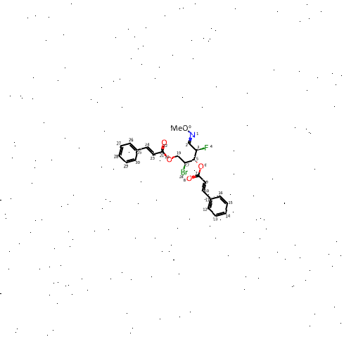 CON=C[C@@H](F)[C@H](OC(=O)/C=C/c1ccccc1)[C@@H](Br)COC(=O)/C=C/c1ccccc1